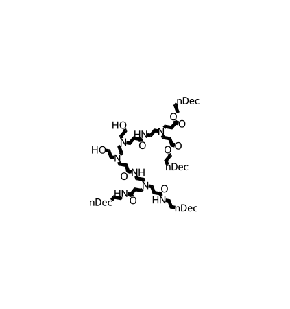 CCCCCCCCCCCCNC(=O)CCN(CCNC(=O)CCN(CCO)CCN(CCO)CCC(=O)NCCN(CCC(=O)OCCCCCCCCCCCC)CCC(=O)OCCCCCCCCCCCC)CCC(=O)NCCCCCCCCCCCC